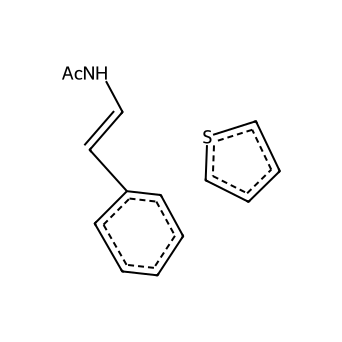 CC(=O)NC=Cc1ccccc1.c1ccsc1